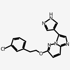 Clc1cccc(CCOc2ccc3ncc(-c4cn[nH]c4)n3n2)c1